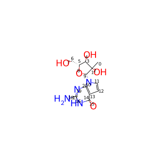 CC1(O)C(O)[C@@H](CO)O[C@H]1n1ccc2c(=O)[nH]c(N)nc21